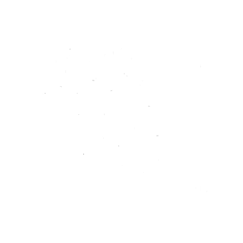 CCCc1ccc(C(=O)OCC(C(C)C)C(CN(C)C(=O)OCC)C(C)C)cc1